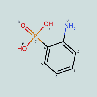 Nc1ccccc1P(=O)(O)O